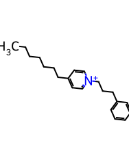 CCCCCCCc1cc[n+](CCCc2ccccc2)cc1